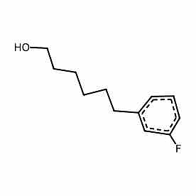 OCCCCCCc1cccc(F)c1